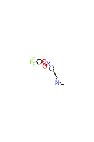 C=CCN(C)CCC#C[C@H]1CC[C@H](N(C)C(=O)Oc2ccc(C(F)(F)F)cc2)CC1